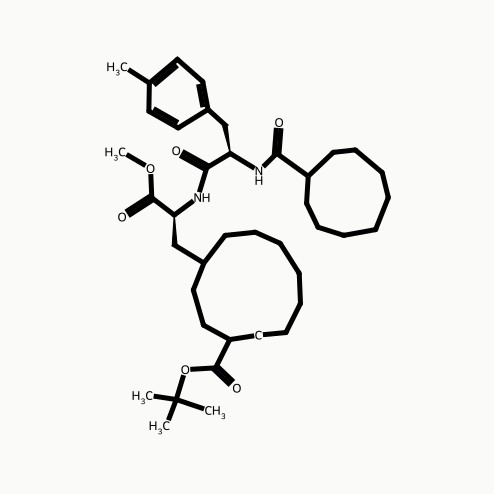 COC(=O)[C@H](CC1CCCCCCCC(C(=O)OC(C)(C)C)CC1)NC(=O)[C@@H](Cc1ccc(C)cc1)NC(=O)C1CCCCCCCC1